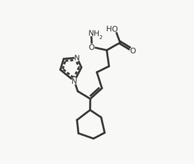 NOC(CC/C=C(\Cn1ccnc1)C1CCCCC1)C(=O)O